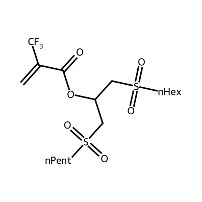 C=C(C(=O)OC(CS(=O)(=O)CCCCC)CS(=O)(=O)CCCCCC)C(F)(F)F